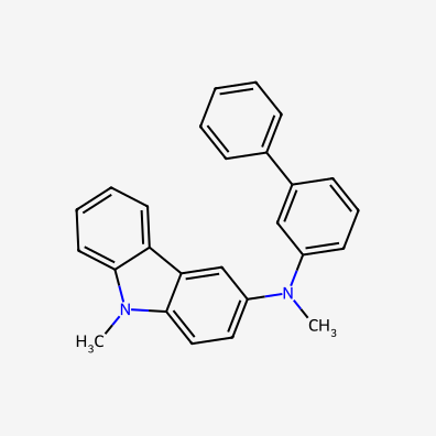 CN(c1cccc(-c2ccccc2)c1)c1ccc2c(c1)c1ccccc1n2C